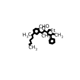 C=CCCCC(C)c1ccc(C=O)c(C(C)C(=O)C(=C/CC)/C=C(\C=C)c2ccccc2)c1